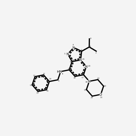 CC(C)c1nnc2c(NCc3ccccc3)cc(N3CCOCC3)nn12